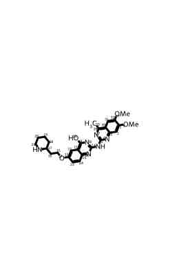 COc1cc2nc(Nc3nc(O)c4cc(OCCC5CCCCN5)ccc4n3)nc(C)c2cc1OC